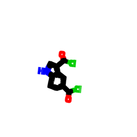 O=C(Cl)c1ccc2[nH]cc(C(=O)Cl)c2c1